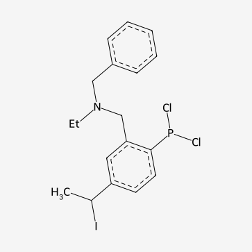 CCN(Cc1ccccc1)Cc1cc(C(C)I)ccc1P(Cl)Cl